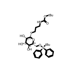 CC(C)(C)OC(=O)NCCCS[C@@H]1O[C@H](CO[Si](c2ccccc2)(c2ccccc2)C(C)(C)C)[C@@H](O)[C@H](O)[C@@H]1O